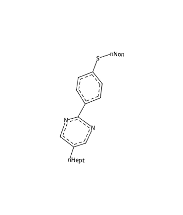 CCCCCCCCCSc1ccc(-c2ncc(CCCCCCC)cn2)cc1